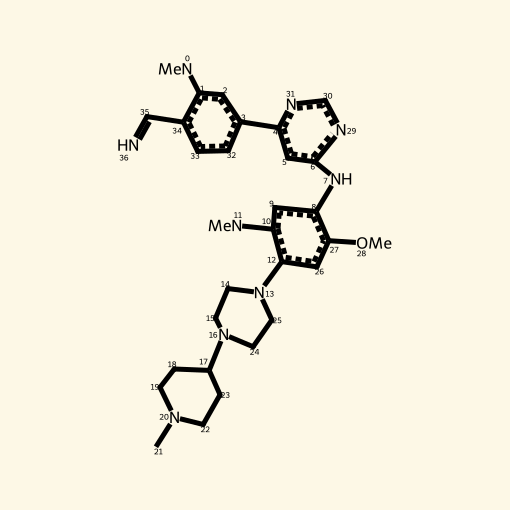 CNc1cc(-c2cc(Nc3cc(NC)c(N4CCN(C5CCN(C)CC5)CC4)cc3OC)ncn2)ccc1C=N